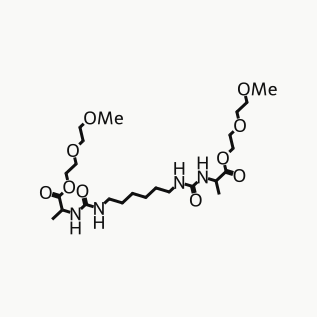 COCCOCCOC(=O)C(C)NC(=O)NCCCCCCNC(=O)NC(C)C(=O)OCCOCCOC